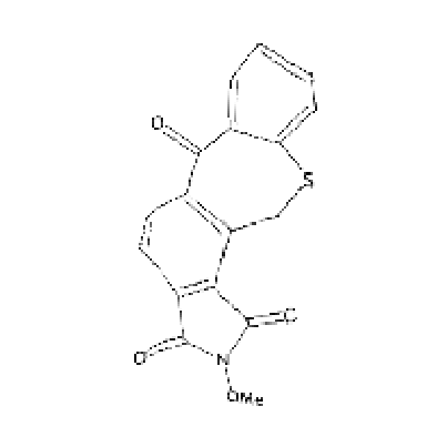 CON1C(=O)c2ccc3c(c2C1=O)CSc1ccccc1C3=O